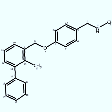 CNCc1ccc(OCc2cccc(-c3ccccc3)c2C)cc1